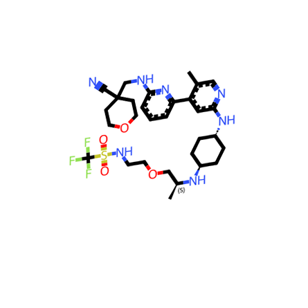 Cc1cnc(N[C@H]2CC[C@H](N[C@@H](C)COCCNS(=O)(=O)C(F)(F)F)CC2)cc1-c1cccc(NCC2(C#N)CCOCC2)n1